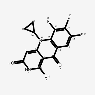 O=c1cc2c(c(O)[nH]1)c(=O)c1cc(F)c(F)c(F)c1n2C1CC1